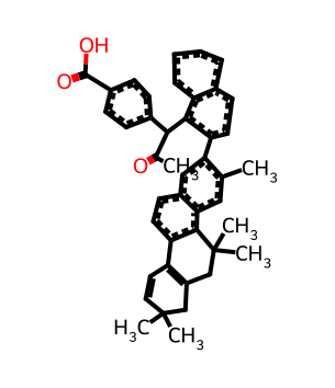 CC(=O)C(c1ccc(C(=O)O)cc1)c1c(-c2cc3ccc4c(c3cc2C)C(C)(C)CC2=C4C=CC(C)(C)C2)ccc2ccccc12